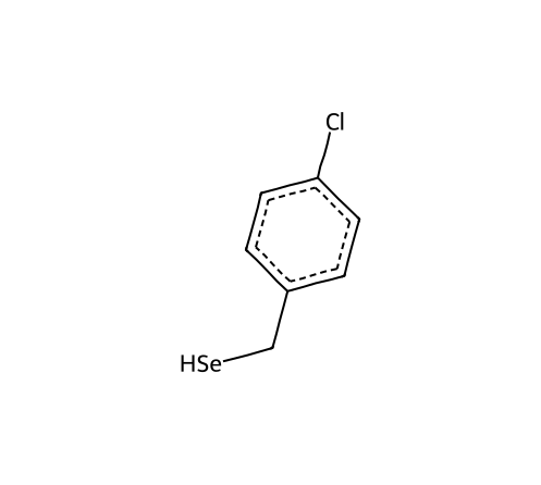 Clc1ccc(C[SeH])cc1